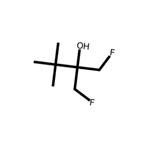 CC(C)(C)C(O)(CF)CF